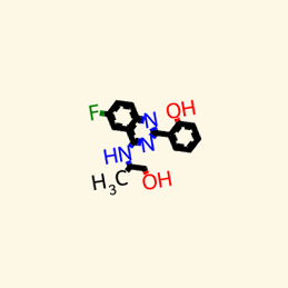 CC(CO)Nc1nc(-c2ccccc2O)nc2ccc(F)cc12